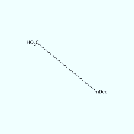 CCCCCCCCCCCCCCCCCCCCCCCCCCCCCCCCCCCCCCCCCCCCCCCC(=O)O